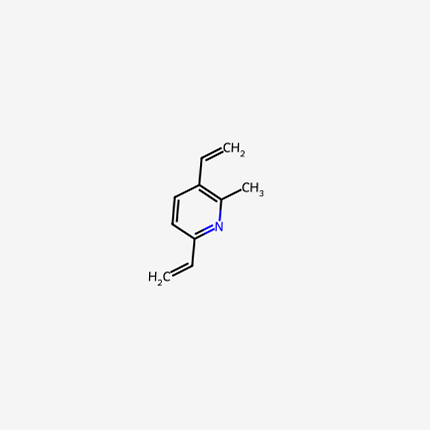 C=Cc1ccc(C=C)c(C)n1